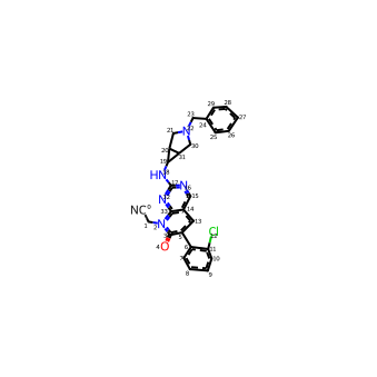 N#CCn1c(=O)c(-c2ccccc2Cl)cc2cnc(NC3C4CN(Cc5ccccc5)CC43)nc21